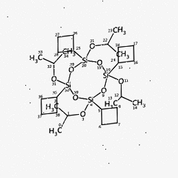 CC(C)O[Si]1(C2CCC2)O[Si](OC(C)C)(C2CCC2)O[Si](OC(C)C)(C2CCC2)O[Si](OC(C)C)(C2CCC2)O1